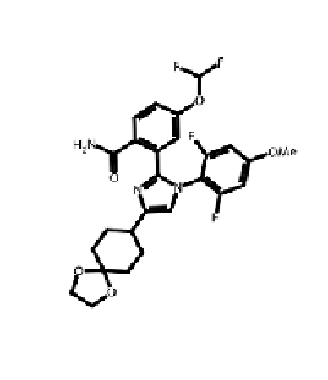 COc1cc(F)c(-n2cc(C3CCC4(CC3)OCCO4)nc2-c2cc(OC(F)F)ccc2C(N)=O)c(F)c1